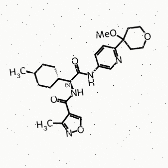 COC1(c2ccc(NC(=O)[C@@H](NC(=O)c3conc3C)[C@H]3CC[C@H](C)CC3)cn2)CCOCC1